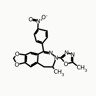 Cc1nnc(N2N=C(c3ccc([N+](=O)[O-])cc3)c3cc4c(cc3CC2C)OCO4)o1